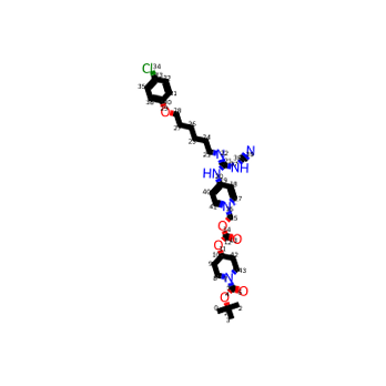 CC(C)(C)OC(=O)N1CCC(OC(=O)OC[n+]2ccc(N/C(=N\CCCCCCOc3ccc(Cl)cc3)NC#N)cc2)CC1